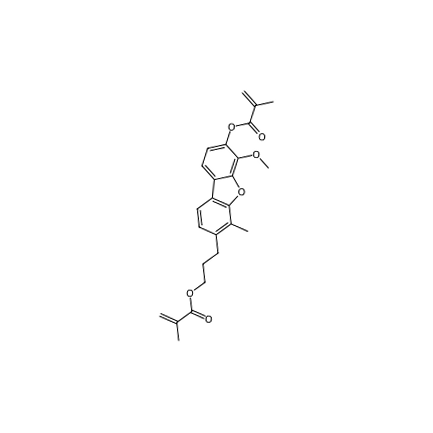 C=C(C)C(=O)OCCCc1ccc2c(oc3c(OC)c(OC(=O)C(=C)C)ccc32)c1C